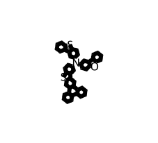 c1ccc2c(c1)oc1ccc(N(c3ccc4sc5ccccc5c4c3)c3ccc4sc5cc6c7ccccc7c7ccccc7c6cc5c4c3)cc12